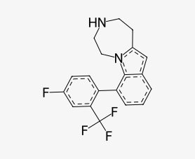 Fc1ccc(-c2cccc3cc4n(c23)CCNCC4)c(C(F)(F)F)c1